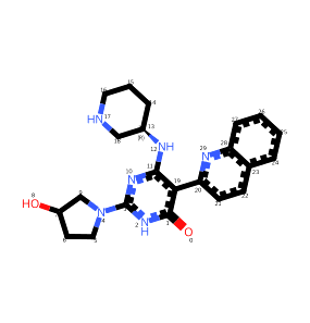 O=c1[nH]c(N2CCC(O)C2)nc(N[C@@H]2CCCNC2)c1-c1ccc2ccccc2n1